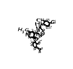 Cc1cc(C2=NOCC(Cc3ccc(Cl)cc3Cl)N2)c(Oc2cccc(C3CC3)c2F)cn1